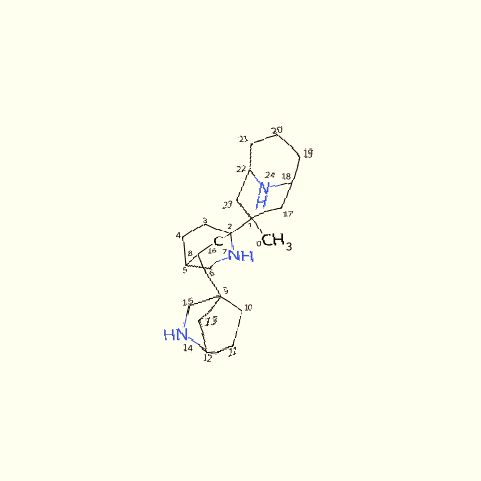 CC1(C23CCC(CN2)C(C24CCC(C2)NC4)C3)CC2CCCC(C1)N2